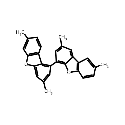 Cc1ccc2c(c1)oc1cc(C)cc(-c3cc(C)cc4c3oc3ccc(C)cc34)c12